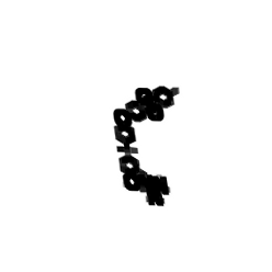 COc1ccc(C(C)(C)c2ccc(Oc3ccc(S(=O)(=O)c4ccc(C)cc4)cc3)cc2)cc1CN=C(N(C)C)N(C)C